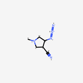 CN1CC(C#N)C(N=[N+]=[N-])C1